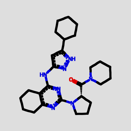 O=C([C@@H]1CCCN1c1nc2c(c(Nc3cc(C4CCCCC4)[nH]n3)n1)CCCC2)N1CCCCC1